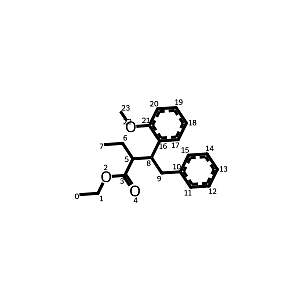 CCOC(=O)C(CC)C(Cc1ccccc1)c1ccccc1OC